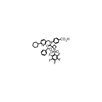 O=C(O)c1ccc(N(Cc2ccc(C3CCCCC3)nc2)C(=O)[C@]2(OCc3ccccc3)CCN2S(=O)(=O)c2c(F)c(F)c(F)c(F)c2F)cc1